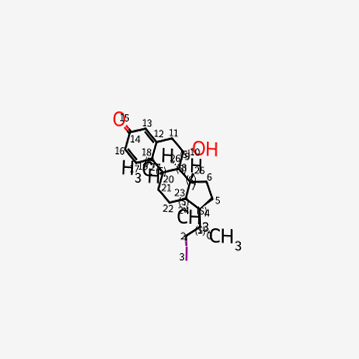 C[C@H](CI)[C@@H]1CC[C@H]2[C@@H]3[C@@H](O)CC4=CC(=O)C=C[C@@]4(C)[C@H]3CC[C@@]21C